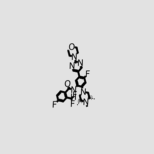 C[C@@H]1CN(c2cc(F)c(-c3cnc(N4CCOCC4)nc3)cc2NC(=O)c2ccc(F)cc2C(F)F)C[C@H](C)N1C